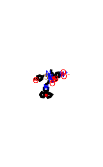 COC(=O)C1(c2ccc([N+](=O)[O-])cc2)C=C(C)N=C(SCc2ccc(OC)cc2)N1N(C=O)CCCN1CCC(c2ccccc2)(c2ccccc2)CC1